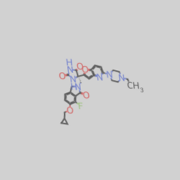 CCN1CCN(c2ccc3oc([C@@]4(CN5Cc6ccc(OCC7CC7)c(F)c6C5=O)NC(=O)NC4=O)cc3n2)CC1